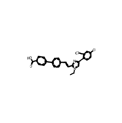 CCn1cc(-c2ccc(Cl)cc2Cl)nc1C=Cc1ccc(-c2ccc(C(=O)O)cc2)cc1